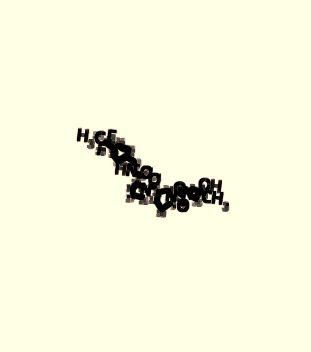 CC1(O)CN(S(=O)(=O)N2CCC[C@H](C(=O)N3CCC[C@@H]3C(=O)NCc3ccc(C(C)(F)F)cc3)C2)C1